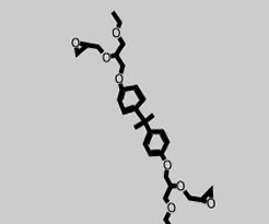 CCOCC(COc1ccc(C(C)(C)c2ccc(OCC(COCC)OCC3CO3)cc2)cc1)OCC1CO1